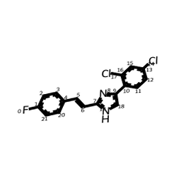 Fc1ccc(C=Cc2nc(-c3ccc(Cl)cc3Cl)c[nH]2)cc1